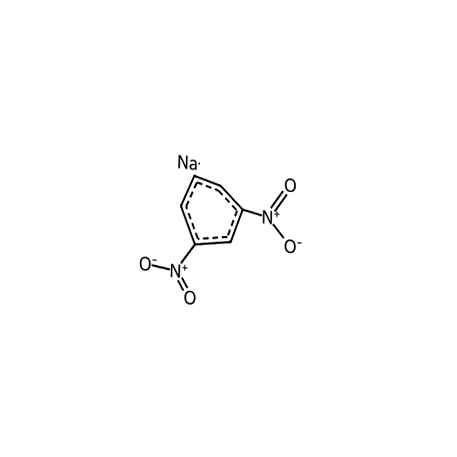 O=[N+]([O-])c1cccc([N+](=O)[O-])c1.[Na]